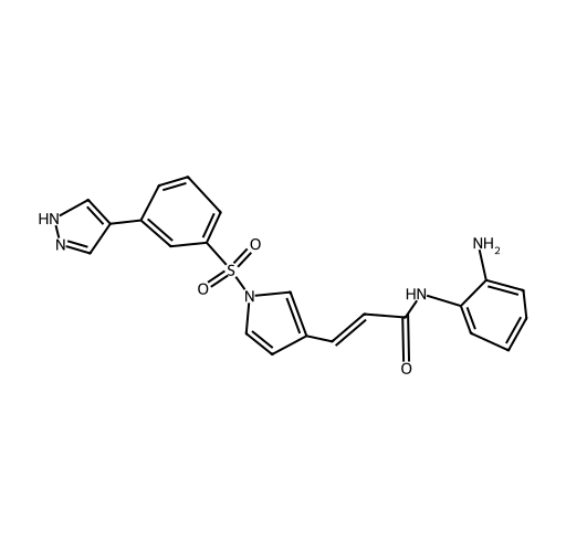 Nc1ccccc1NC(=O)C=Cc1ccn(S(=O)(=O)c2cccc(-c3cn[nH]c3)c2)c1